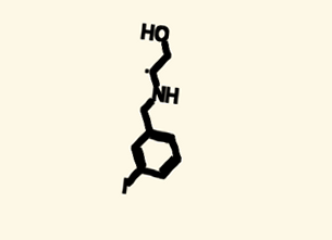 OC[CH]NCc1cccc(I)c1